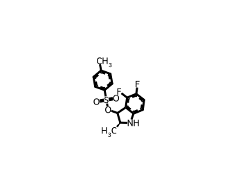 Cc1ccc(S(=O)(=O)OC2c3c(ccc(F)c3F)N[C@H]2C)cc1